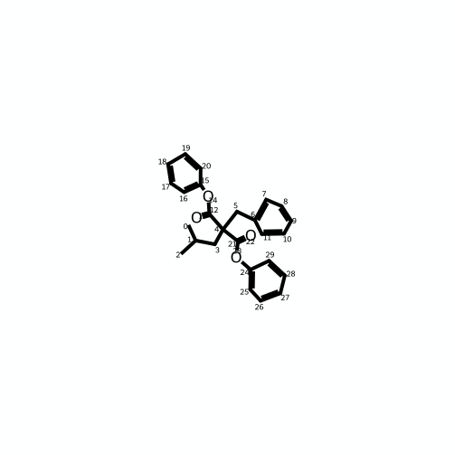 CC(C)CC(Cc1ccccc1)(C(=O)Oc1ccccc1)C(=O)Oc1ccccc1